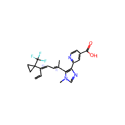 C=C/C(=C\C=C(/C)c1c(-c2cc(C(=O)O)ccn2)ncn1C)C1(C(F)(F)F)CC1